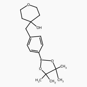 CC1(C)OB(c2ccc(CC3(O)CCOCC3)cc2)OC1(C)C